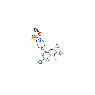 CC(C)(C)OC(=O)N1C2CC(F)C1CN(c1nc(Cl)nc3c(F)c(Br)c(Cl)cc13)C2